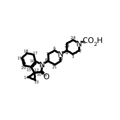 O=C(O)N1CCC(N2CCC(N3C(=O)C4(CC4)C4=C3CCC=C4)CC2)CC1